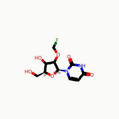 O=c1ccn([C@H]2O[C@@H](CO)C(O)C2OCF)c(=O)[nH]1